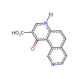 CCn1cc(C(=O)O)c(=O)c2c3cnccc3ccc21